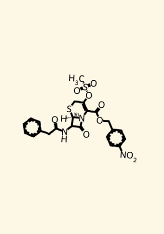 CS(=O)(=O)OC1=C(C(=O)OCc2ccc([N+](=O)[O-])cc2)N2C(=O)C(NC(=O)Cc3ccccc3)[C@H]2SC1